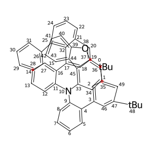 CC(C)(C)c1cc(-c2ccccc2N(c2ccccc2-c2cccc3cccc(-c4ccccc4)c23)c2cccc3oc4ccccc4c23)cc(C(C)(C)C)c1